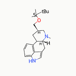 CN1C[C@H](CO[Si](C)(C)C(C)(C)C)CC2c3cccc4[nH]cc(c34)C[C@H]21